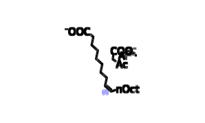 CC(=O)CC(=O)[O-].CCCCCCCC/C=C\CCCCCCCC(=O)[O-].[Al+2]